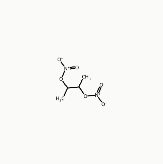 CC(O[N+](=O)[O-])C(C)O[N+](=O)[O-]